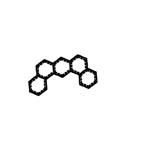 c1ccc2c(c1)ccc1cc3ccc4ccccc4c3cc12